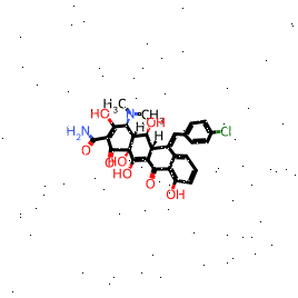 CN(C)[C@@H]1C(O)=C(C(N)=O)C(=O)[C@@]2(O)C(O)=C3C(=O)c4c(O)cccc4/C(=C\c4ccc(Cl)cc4)[C@H]3[C@H](O)[C@@H]12